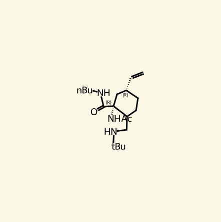 C=C[C@@H]1CCC(CNC(C)(C)C)[C@@](NC(C)=O)(C(=O)NCCCC)C1